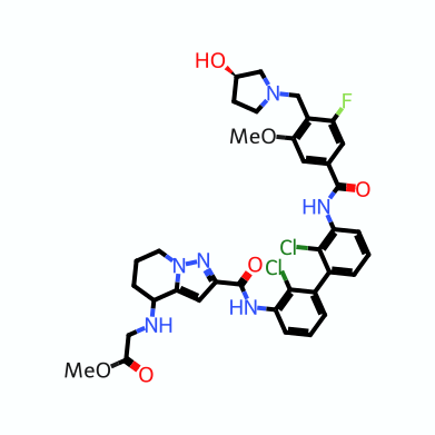 COC(=O)CNC1CCCn2nc(C(=O)Nc3cccc(-c4cccc(NC(=O)c5cc(F)c(CN6CC[C@@H](O)C6)c(OC)c5)c4Cl)c3Cl)cc21